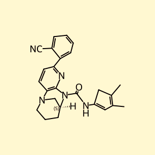 CC1=C(C)CC(NC(=O)N2c3nc(-c4ccccc4C#N)ccc3N3CCC[C@H]2C3)=C1